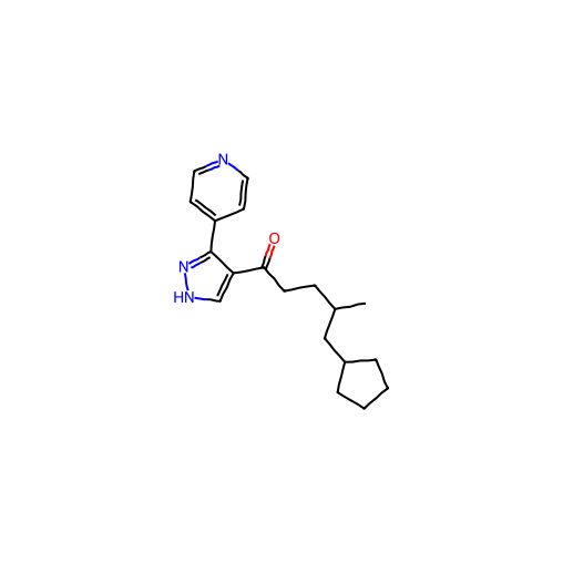 CC(CCC(=O)c1c[nH]nc1-c1ccncc1)CC1CCCC1